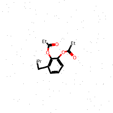 CCC(=O)Oc1cccc(CC(C)C)c1OC(=O)CC